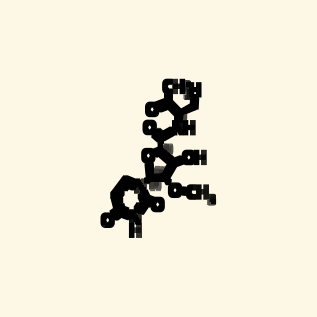 [2H]C[C@@H](NC(=O)[C@H]1O[C@@H](n2ccc(=O)[nH]c2=O)[C@@H](OC)C1O)C(C)=O